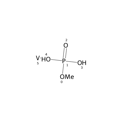 COP(=O)(O)O.[V]